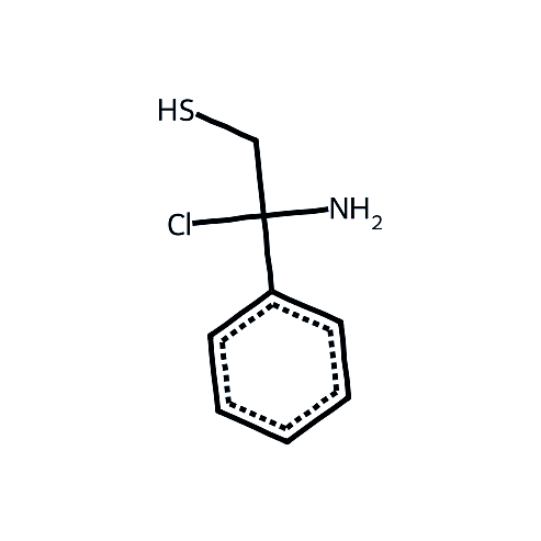 NC(Cl)(CS)c1ccccc1